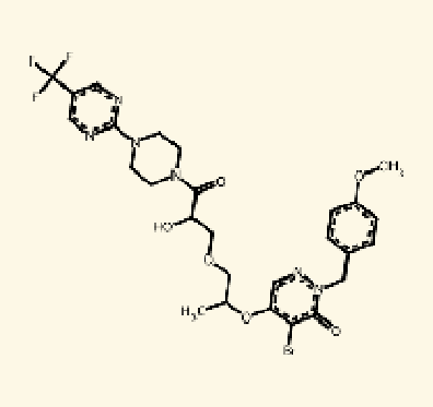 COc1ccc(Cn2ncc(OC(C)COCC(O)C(=O)N3CCN(c4ncc(C(F)(F)F)cn4)CC3)c(Br)c2=O)cc1